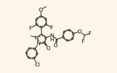 COc1cc(F)c(-c2c(NC(=O)c3ccc(OC(F)F)cc3)c(=O)n(-c3cccc(Cl)c3)n2C)c(F)c1